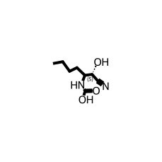 CCCCC(NC(=O)O)[C@H](O)C#N